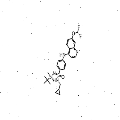 CC(C)(C)[Si](C)(C)N=[S@](=O)(NCC1CC1)c1ccc(Nc2ccnc3cc(OC(F)F)ccc23)cc1